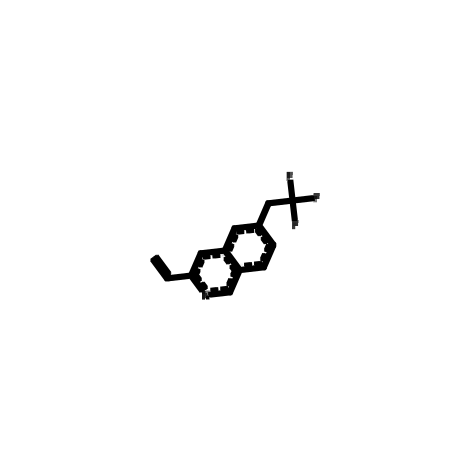 C=Cc1cc2cc(CC(F)(F)F)ccc2cn1